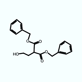 O=C(OCc1ccccc1)C(CCO)C(=O)OCc1ccccc1